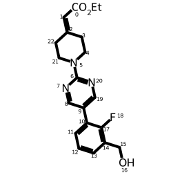 CCOC(=O)C=C1CCN(c2ncc(-c3cccc(CO)c3F)cn2)CC1